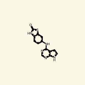 O=c1[nH]c2ccc(Nc3ncnc4[nH]ccc34)cc2s1